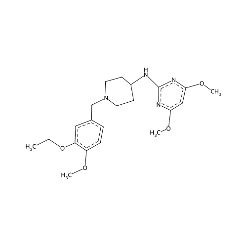 CCOc1cc(CN2CCC(Nc3nc(OC)cc(OC)n3)CC2)ccc1OC